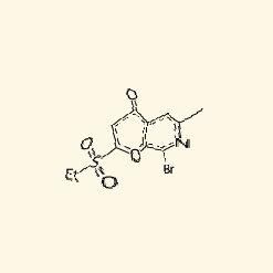 CCS(=O)(=O)c1cc(=O)c2cc(C)nc(Br)c2o1